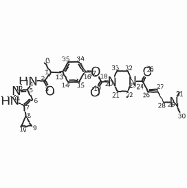 CC(C(=O)Nc1cc(C2CC2)[nH]n1)c1ccc(OC(=O)N2CCN(C(=O)/C=C/CN(C)C)CC2)cc1